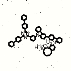 C=C1/C=C\C=C/Cc2ccc(-n3c4ccccc4c4ccc(-c5ccc6c(c5)c5ccccc5n6-c5cccc(-c6nc(-c7ccc(-c8ccccc8)cc7)nc(-c7ccc(-c8ccccc8)cc7)n6)c5)cc43)cc2C1(C)C